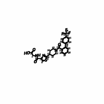 O=C(O)CNC(=O)c1csc(C2CCN(C(=O)c3ccccc3-c3ccc(C(F)(F)F)cc3)CC2)n1